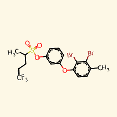 Cc1ccc(Oc2cccc(OS(=O)(=O)C(C)CCC(F)(F)F)c2)c(Br)c1Br